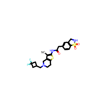 N#Cc1c(NC(=O)Cc2ccc3c(c2)CNS3(=O)=O)sc2c1CN(CC1CC(F)(F)C1)CC2